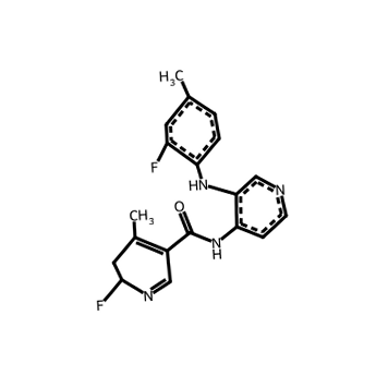 CC1=C(C(=O)Nc2ccncc2Nc2ccc(C)cc2F)C=NC(F)C1